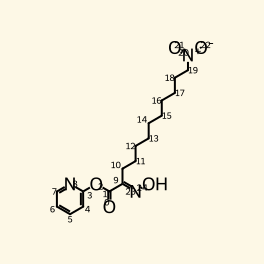 O=C(Oc1ccccn1)/C(CCCCCCCCCC[N+](=O)[O-])=N/O